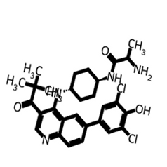 CC(N)C(=O)N[C@H]1CC[C@H](Nc2c(C(=O)C(C)(C)C)cnc3ccc(-c4cc(Cl)c(O)c(Cl)c4)cc23)CC1